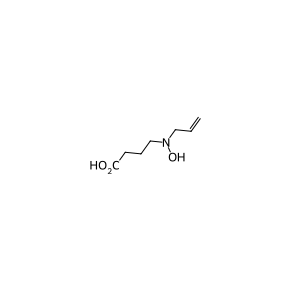 C=CCN(O)CCCC(=O)O